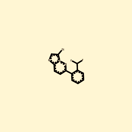 CCc1cnc2ccc(-c3ccccc3C(F)F)nn12